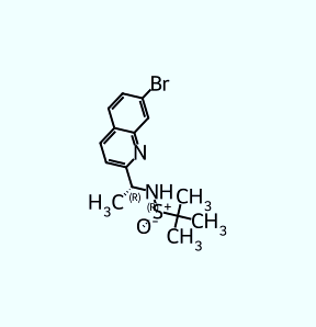 C[C@@H](N[S@@+]([O-])C(C)(C)C)c1ccc2ccc(Br)cc2n1